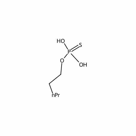 CCCCCOP(O)(O)=S